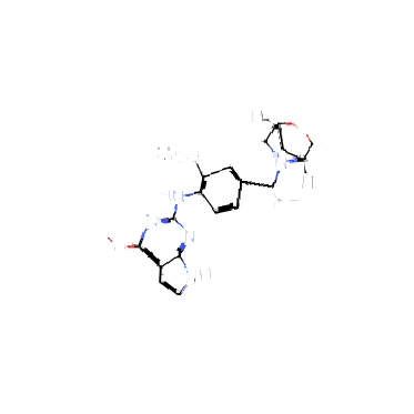 CCOc1nc(Nc2ccc([C@H](N3C[C@H]4C[C@@H]3CO4)C(F)(F)F)cc2OC)nc2[nH]ccc12